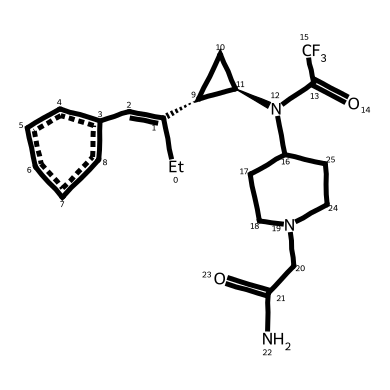 CC/C(=C\c1ccccc1)[C@@H]1C[C@H]1N(C(=O)C(F)(F)F)C1CCN(CC(N)=O)CC1